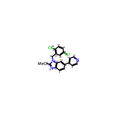 COc1nc2ccc(-c3ccncc3)cc2n1Cc1cc(Cl)ccc1Cl